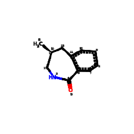 C[C@@H]1CNC(=O)c2ccccc2C1